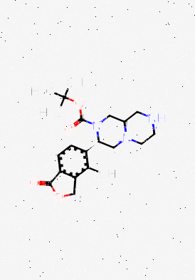 Cc1c([C@@H]2CN3CCNCC3CN2C(=O)OC(C)(C)C)ccc2c1COC2=O